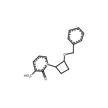 O=C(O)c1cccn(C2CCC2OCc2ccccc2)c1=O